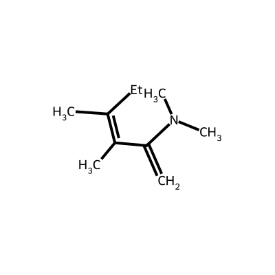 C=C(/C(C)=C(/C)CC)N(C)C